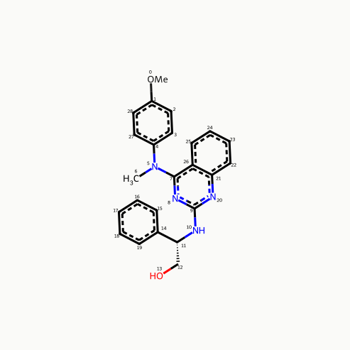 COc1ccc(N(C)c2nc(N[C@H](CO)c3ccccc3)nc3ccccc23)cc1